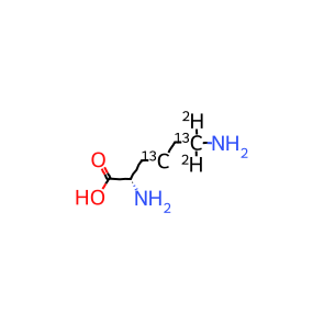 [2H][13C]([2H])(N)C[13CH2]C[C@H](N)C(=O)O